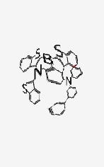 c1ccc(-c2cccc(N(c3ccccc3)c3ccc4c5c3-c3c(sc6ccccc36)B5c3sc5ccccc5c3N4c3csc4ccccc34)c2)cc1